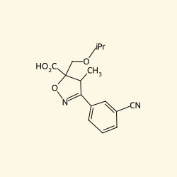 CC(C)OCC1(C(=O)O)ON=C(c2cccc(C#N)c2)C1C